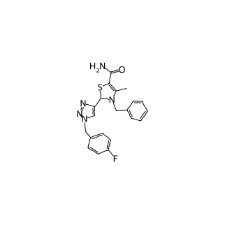 CC1=C(C(N)=O)SC(c2cn(Cc3ccc(F)cc3)nn2)N1Cc1ccccc1